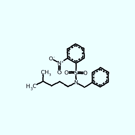 CC(C)CCCN(Cc1ccccc1)S(=O)(=O)c1ccccc1[N+](=O)[O-]